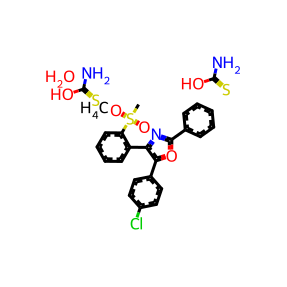 C.CS(=O)(=O)c1ccccc1-c1nc(-c2ccccc2)oc1-c1ccc(Cl)cc1.NC(O)=S.NC(O)=S.O